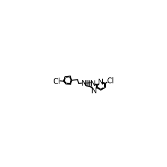 Clc1ccc(CCNCc2nc3ccc(Cl)nc3[nH]2)cc1